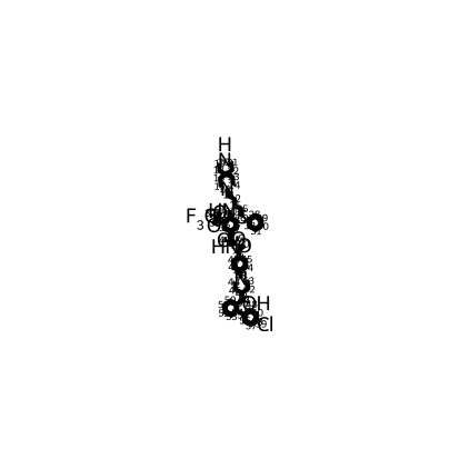 O=C(NS(=O)(=O)c1ccc(NC(CCN2CCC3(CCNCC3)CC2)CSc2ccccc2)c(S(=O)(=O)C(F)(F)F)c1)c1ccc(N2CCC([C@@H](O)c3ccccc3-c3ccc(Cl)cc3)CC2)cc1